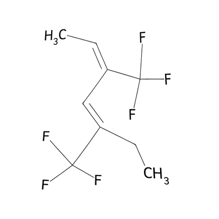 C/C=C(\C=C(/CC)C(F)(F)F)C(F)(F)F